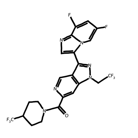 O=C(c1cc2c(cn1)c(-c1cnc3c(F)cc(F)cn13)nn2CC(F)(F)F)N1CCC(C(F)(F)F)CC1